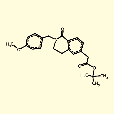 COc1ccc(CN2CCc3cc(CC(=O)OC(C)(C)C)ccc3C2=O)cc1